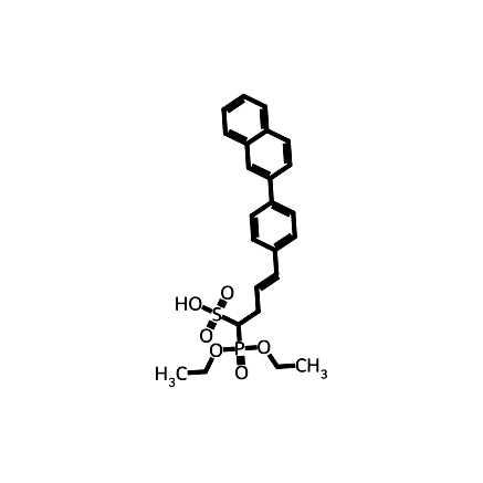 CCOP(=O)(OCC)C(CC=Cc1ccc(-c2ccc3ccccc3c2)cc1)S(=O)(=O)O